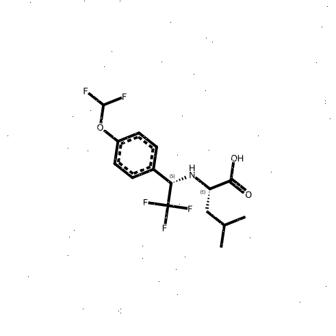 CC(C)C[C@H](N[C@@H](c1ccc(OC(F)F)cc1)C(F)(F)F)C(=O)O